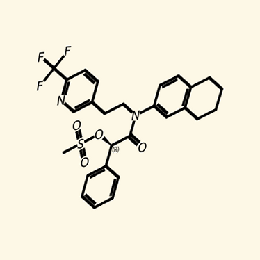 CS(=O)(=O)O[C@@H](C(=O)N(CCc1ccc(C(F)(F)F)nc1)c1ccc2c(c1)CCCC2)c1ccccc1